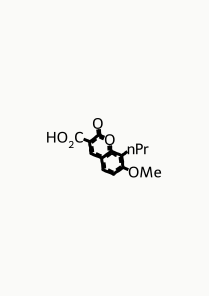 CCCc1c(OC)ccc2cc(C(=O)O)c(=O)oc12